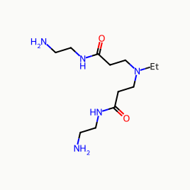 CCN(CCC(=O)NCCN)CCC(=O)NCCN